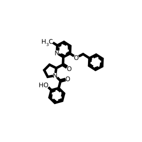 Cc1ccc(OCc2ccccc2)c(C(=O)C2CCCN2C(=O)c2ccccc2O)n1